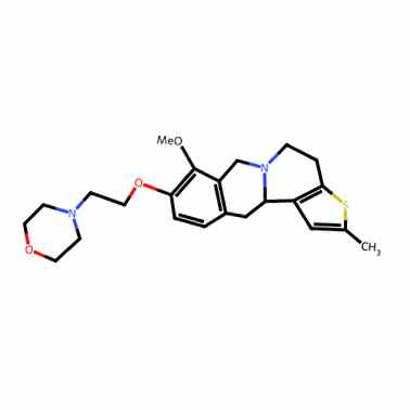 COc1c(OCCN2CCOCC2)ccc2c1CN1CCc3sc(C)cc3C1C2